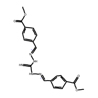 COC(=O)c1ccc(/C=N/NC(=N)N/N=C/c2ccc(C(=O)OC)cc2)cc1